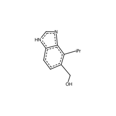 CC(C)c1c(CO)ccc2[nH]cnc12